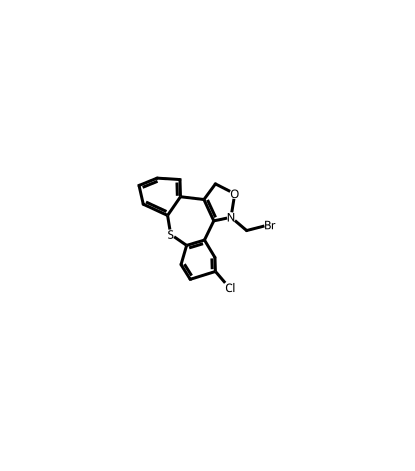 Clc1ccc2c(c1)C1=C(CON1CBr)c1ccccc1S2